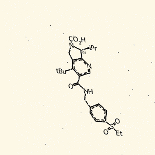 CCS(=O)(=O)c1ccc(CNC(=O)c2cnc3c(c2C(C)(C)C)CN(C(=O)O)[C@H]3C(C)C)cc1